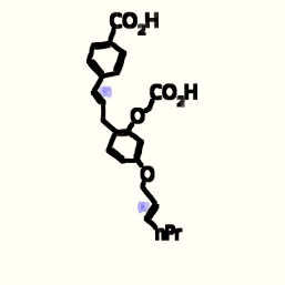 CCC/C=C/COc1ccc(C/C=C/c2ccc(C(=O)O)cc2)c(OCC(=O)O)c1